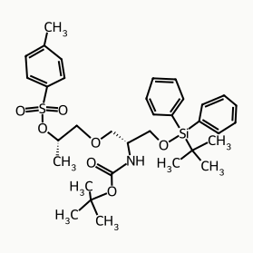 Cc1ccc(S(=O)(=O)O[C@@H](C)COC[C@H](CO[Si](c2ccccc2)(c2ccccc2)C(C)(C)C)NC(=O)OC(C)(C)C)cc1